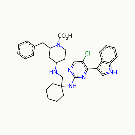 O=C(O)N1CCC(NCC2(Nc3ncc(Cl)c(-c4c[nH]c5ccccc45)n3)CCCCC2)CC1Cc1ccccc1